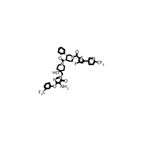 Nc1c(Oc2cccc(C(F)(F)F)c2)ncn(CC2(O)CCN(C(=O)[C@@H]3CCN(C(=O)c4sc(-c5ccc(C(F)(F)F)nc5)cc4F)C[C@H]3c3ccccc3)CC2)c1=O